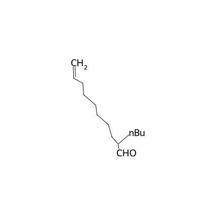 C=CCCCCCCC(C=O)CCCC